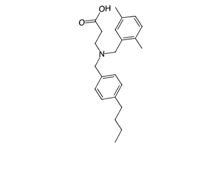 CCCCc1ccc(CN(CCC(=O)O)Cc2cc(C)ccc2C)cc1